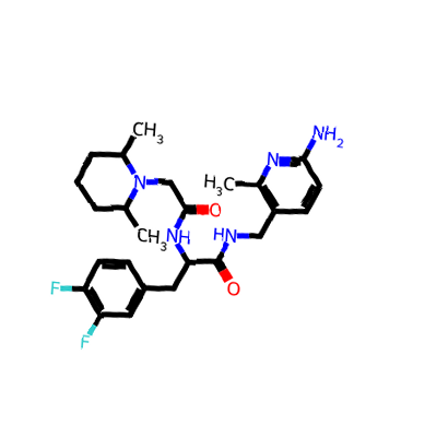 Cc1nc(N)ccc1CNC(=O)C(Cc1ccc(F)c(F)c1)NC(=O)CN1C(C)CCCC1C